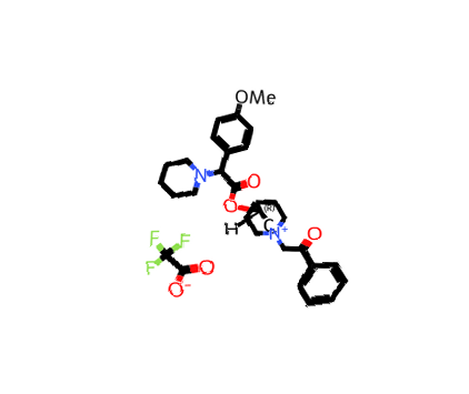 COc1ccc(C(C(=O)O[C@H]2C[N+]3(CC(=O)c4ccccc4)CCC2CC3)N2CCCCC2)cc1.O=C([O-])C(F)(F)F